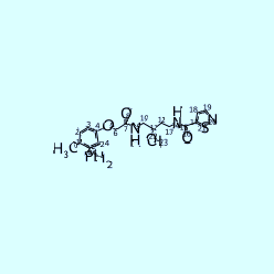 Cc1ccc(OCC(=O)NCC(CCNC(=O)c2ccns2)OI)cc1P